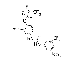 O=C(Nc1cc([N+](=O)[O-])cc(C(F)(F)F)c1)Nc1ccc(OC(F)(F)C(F)C(F)(F)F)c(C(F)(F)F)c1